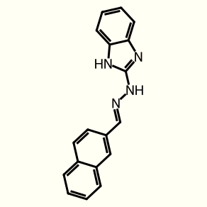 C(=N\Nc1nc2ccccc2[nH]1)/c1ccc2ccccc2c1